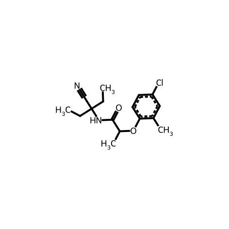 CCC(C#N)(CC)NC(=O)C(C)Oc1ccc(Cl)cc1C